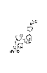 CCCS(=O)(=O)Nc1ccc(F)c(C(=O)c2c[nH]c3ncc(-c4ccc(N=S(C)(C)=O)cc4)cc23)c1F